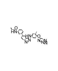 C=CC(=O)Nc1cccc(-c2ccc3ncnc(Nc4ccc(Oc5cc6nncn6cn5)c(C)c4)c3c2)c1